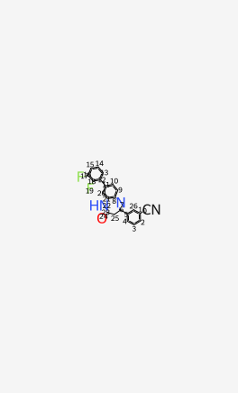 N#Cc1cccc(C2=Nc3ccc(-c4cccc(F)c4F)cc3NC(=O)C2)c1